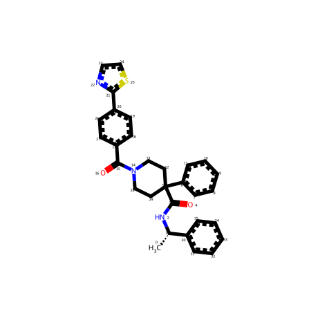 C[C@H](NC(=O)C1(c2ccccc2)CCN(C(=O)c2ccc(-c3nccs3)cc2)CC1)c1ccccc1